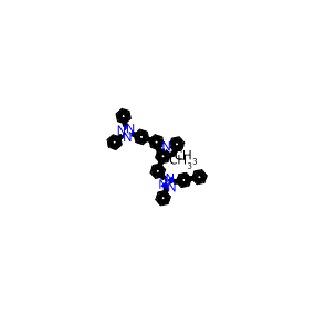 CC1(C)c2ccccc2-n2c3ccc(-c4ccc(-c5nc(-c6ccccc6)nc(-c6ccccc6)n5)cc4)cc3c3cc(-c4cccc(-c5nc(-c6ccccc6)nc(-c6ccc(-c7ccccc7)cc6)n5)c4)cc1c32